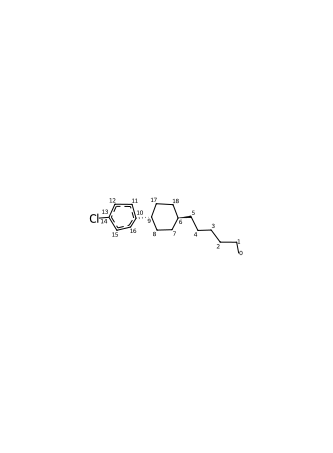 CCCCCC[C@H]1CC[C@H](c2ccc(Cl)cc2)CC1